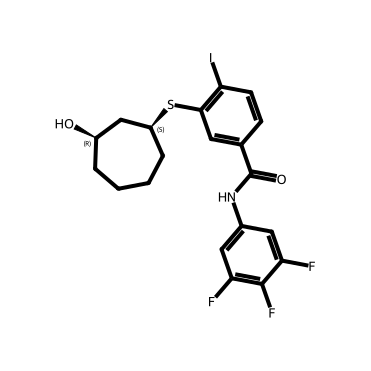 O=C(Nc1cc(F)c(F)c(F)c1)c1ccc(I)c(S[C@H]2CCCC[C@@H](O)C2)c1